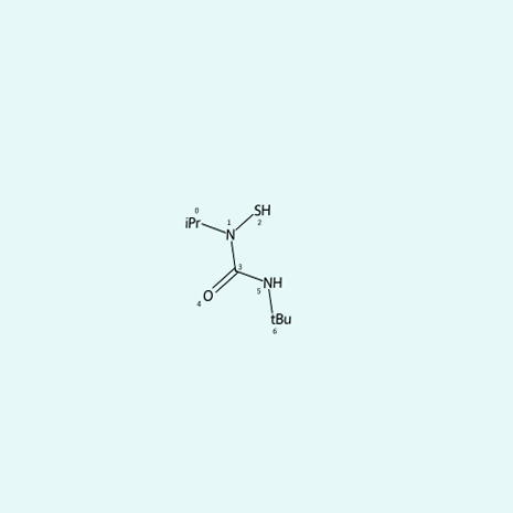 CC(C)N(S)C(=O)NC(C)(C)C